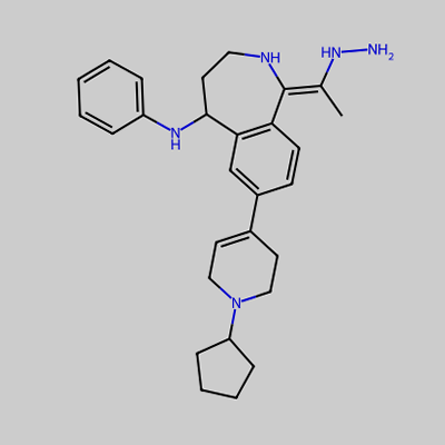 C/C(NN)=C1/NCCC(Nc2ccccc2)c2cc(C3=CCN(C4CCCC4)CC3)ccc21